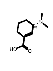 CN(C)[C@@H]1C=C(C(=O)O)CCC1